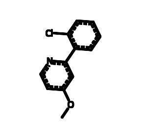 COc1ccnc(-c2ccccc2Cl)c1